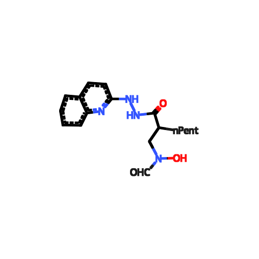 CCCCCC(CN(O)C=O)C(=O)NNc1ccc2ccccc2n1